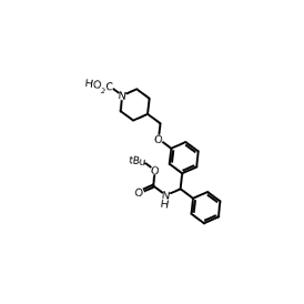 CC(C)(C)OC(=O)NC(c1ccccc1)c1cccc(OCC2CCN(C(=O)O)CC2)c1